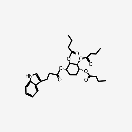 CCCC(=O)O[C@@H]1[C@@H](OC(=O)CCC)[C@H](OC(=O)CCC)CC[C@@H]1OC(=O)CCc1c[nH]c2ccccc12